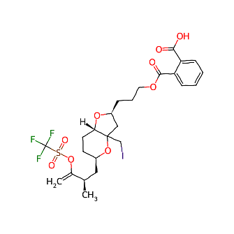 C=C(OS(=O)(=O)C(F)(F)F)[C@H](C)C[C@H]1CC[C@@H]2O[C@@H](CCCOC(=O)c3ccccc3C(=O)O)CC2(CI)O1